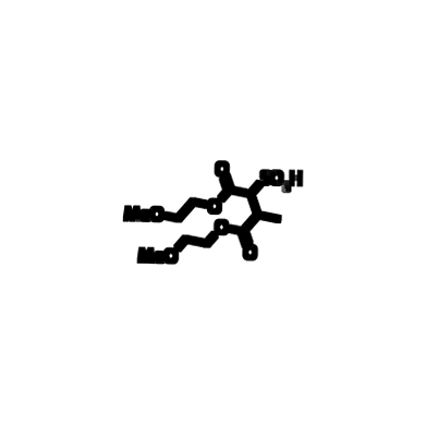 COCCOC(=O)C(C)C(C(=O)OCCOC)S(=O)(=O)O